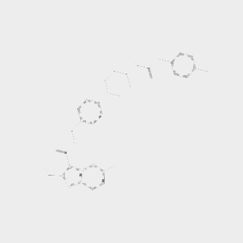 CCc1nc2ccc(Cl)cn2c1C(=O)NCc1ccc(N2CCC(NC(=O)Cc3ccc(F)cc3)CC2)cc1